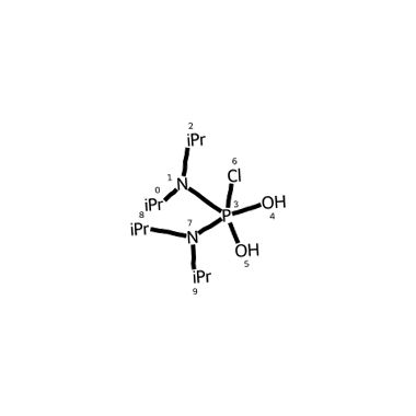 CC(C)N(C(C)C)P(O)(O)(Cl)N(C(C)C)C(C)C